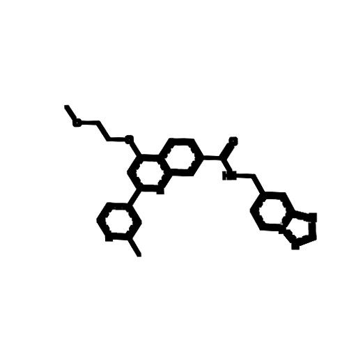 COCCOc1cc(-c2ccnc(C)c2)nc2cc(C(=O)NCc3ccn4ncnc4c3)ccc12